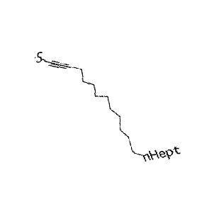 CCCCCCCCCCCCCCCCCC#C[S]